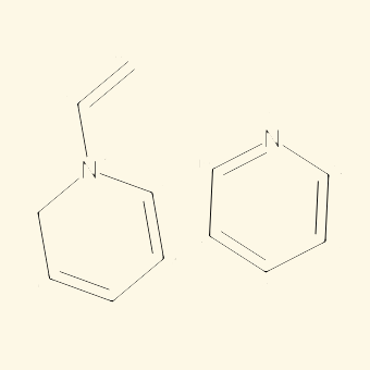 C=CN1C=CC=CC1.c1ccncc1